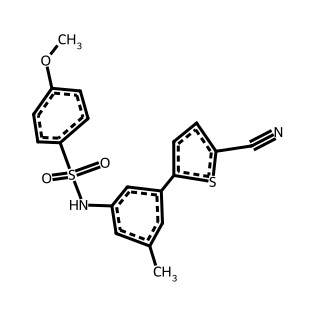 COc1ccc(S(=O)(=O)Nc2cc(C)cc(-c3ccc(C#N)s3)c2)cc1